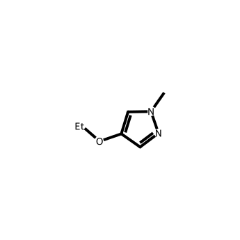 CCOc1cnn(C)c1